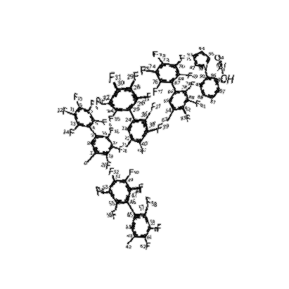 Cc1cc(-c2c(F)c(F)c(F)c(F)c2F)c(F)c(F)c1F.Cc1cc(-c2c(F)c(F)c(F)c(F)c2F)c(F)c(F)c1F.Cc1cc(-c2c(F)c(F)c(F)c(F)c2F)c(F)c(F)c1F.Cc1cc(-c2c(F)c(F)c(F)c(F)c2F)c(F)c(F)c1F.[O]=[Al][OH].c1ccc(-n2cccc2)cc1